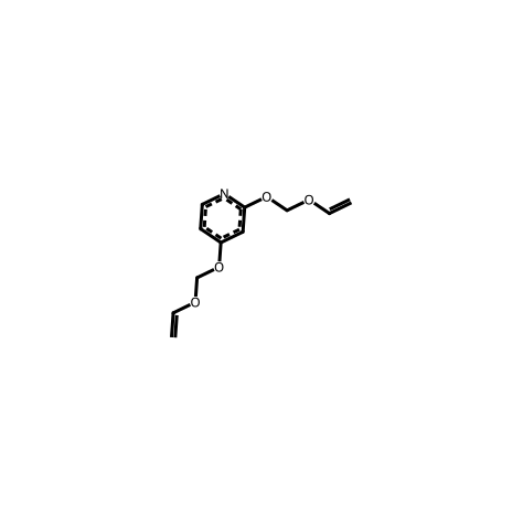 C=COCOc1ccnc(OCOC=C)c1